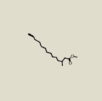 C=CCCCCCCCCCC(C)CC(=O)OC